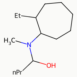 CCCC(O)N(C)C1CCCCCC1CC